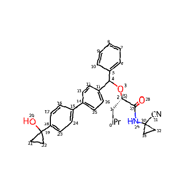 CC(C)C[C@H](OC(c1ccccc1)c1ccc(-c2ccc(C3(O)CC3)cc2)cc1)C(=O)NC1(C#N)CC1